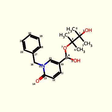 CC(C)(O)C(C)(C)OB(O)c1ccc(=O)n(Cc2ccccc2)c1